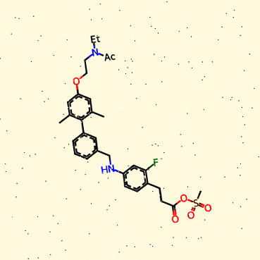 CCN(CCOc1cc(C)c(-c2cccc(CNc3ccc(CCC(=O)OS(C)(=O)=O)c(F)c3)c2)c(C)c1)C(C)=O